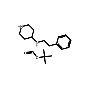 CC(C)(C)OC=O.c1ccc(CCNC2CCNCC2)cc1